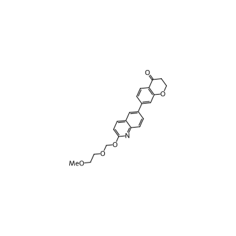 COCCOCOc1ccc2cc(-c3ccc4c(c3)OCCC4=O)ccc2n1